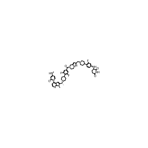 CNc1ccn(-c2ccnc3c2cc([C@@H](C)N2CCC(c4c(F)cc(C(=O)N5CCn6nc(CN7CCC(c8ccc(NC9CCC(=O)NC9=O)cc8F)CC7)cc6C5)cc4F)CC2)n3C)c(=O)c1